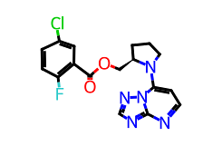 O=C(OC[C@H]1CCCN1c1ccnc2ncnn12)c1cc(Cl)ccc1F